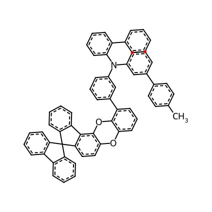 Cc1ccc(-c2cccc(N(c3cccc(-c4cccc5c4Oc4c(ccc6c4-c4ccccc4C64c6ccccc6-c6ccccc64)O5)c3)c3ccccc3-c3ccccc3)c2)cc1